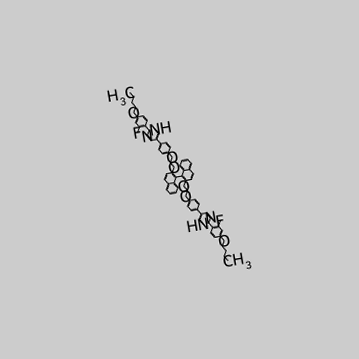 CCCCOc1ccc(C2N=CC(c3ccc(OCOc4ccc5ccccc5c4-c4c(OCOc5ccc(C6=CNC(c7ccc(OCCCC)cc7F)N=C6)cc5)ccc5ccccc45)cc3)=CN2)c(F)c1